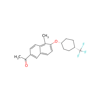 CC(=O)c1ccc2c(C)c(O[C@H]3CC[C@@H](C(F)(F)F)CC3)ccc2c1